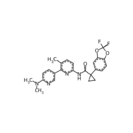 Cc1ccc(NC(=O)C2(c3ccc4c(c3)OC(F)(F)O4)CC2)nc1-c1ccc(N(C)C)nc1